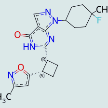 Cc1cc([C@H]2CC[C@H]2c2nc3c(cnn3C3CCC(C)(F)CC3)c(=O)[nH]2)on1